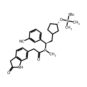 CN(C(=O)Cc1ccc2c(c1)NC(=O)C2)[C@H](CC1CC[C@H](O[Si](C)(C)C(C)(C)C)C1)c1cccc(C#N)c1